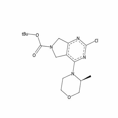 C[C@H]1COCCN1c1nc(Cl)nc2c1CN(C(=O)OC(C)(C)C)C2